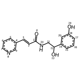 O=C(C=Cc1cccnc1)NCC(O)c1cccc(O)c1